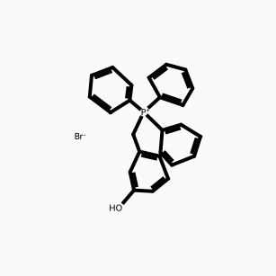 Oc1cccc(C[P+](c2ccccc2)(c2ccccc2)c2ccccc2)c1.[Br-]